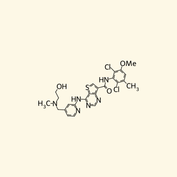 COc1cc(C)c(Cl)c(NC(=O)c2csc3c(Nc4cc(CN(C)CCO)ccn4)ncnc23)c1Cl